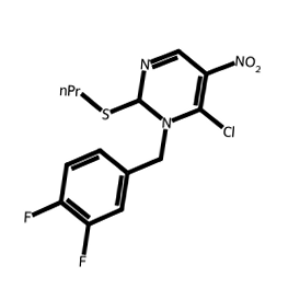 CCCSC1N=CC([N+](=O)[O-])=C(Cl)N1Cc1ccc(F)c(F)c1